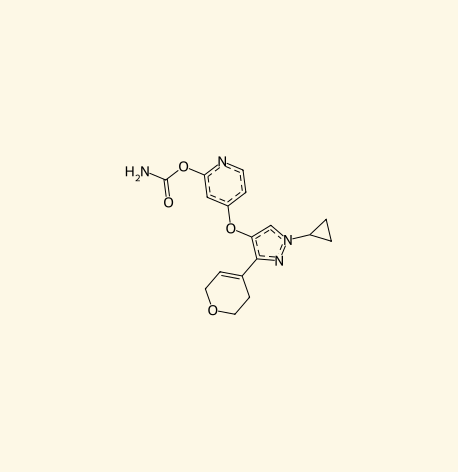 NC(=O)Oc1cc(Oc2cn(C3CC3)nc2C2=CCOCC2)ccn1